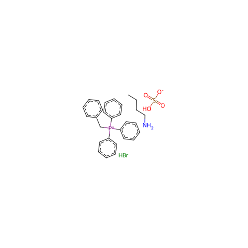 Br.CCCCN.O=S(=O)([O-])O.c1ccc(C[P+](c2ccccc2)(c2ccccc2)c2ccccc2)cc1